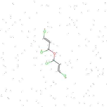 ClC=CC(Cl)OC(Cl)C=CCl